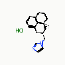 CC(C)[C@]12CCCc3cccc(c31)C[C@H](Cn1ccnc1)C2.Cl